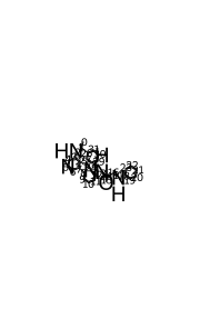 C[C@H](Nc1cncc(-c2cccc(NC(=O)CNc3ccccc3)n2)c1)c1ccccc1